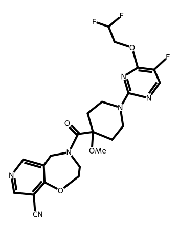 COC1(C(=O)N2CCOc3c(C#N)cncc3C2)CCN(c2ncc(F)c(OCC(F)F)n2)CC1